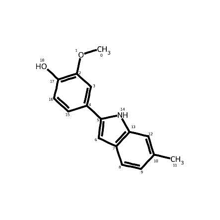 COc1cc(-c2cc3ccc(C)cc3[nH]2)ccc1O